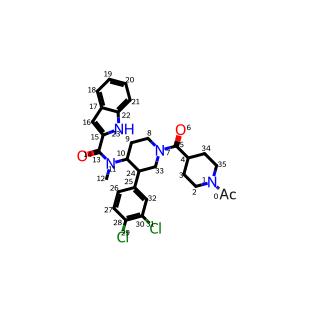 CC(=O)N1CCC(C(=O)N2CCC(N(C)C(=O)c3cc4ccccc4[nH]3)C(c3ccc(Cl)c(Cl)c3)C2)CC1